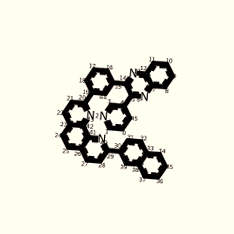 c1cncc(-c2nc3ccccc3nc2-c2cccc(-c3ccc4ccc5ccc(-c6ccc7ccccc7c6)nc5c4n3)c2)c1